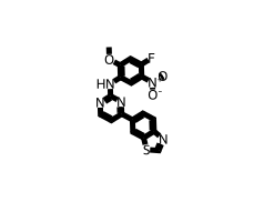 COc1cc(F)c([N+](=O)[O-])cc1Nc1nccc(-c2ccc3ncsc3c2)n1